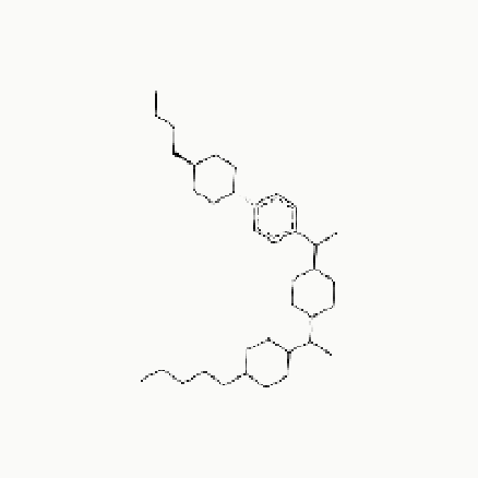 CCCCCC1CCC(C(C)C2CCC(C(C)c3ccc([C@H]4CC[C@H](CCCC)CC4)cc3)CC2)CC1